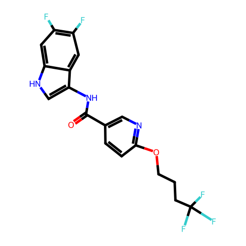 O=C(Nc1c[nH]c2cc(F)c(F)cc12)c1ccc(OCCCC(F)(F)F)nc1